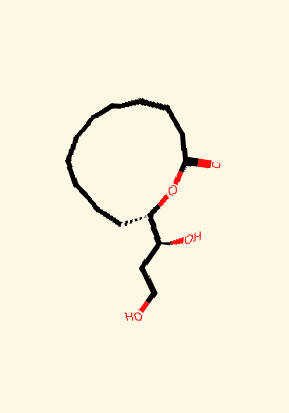 O=C1CCCCCCCCCC[C@@H]([C@@H](O)CCO)O1